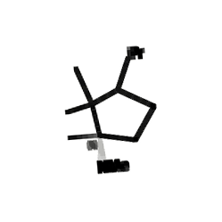 CN[C@@]1(C)CCC(C(C)C)C1(C)C